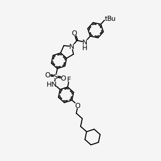 CC(C)(C)c1ccc(NC(=O)N2Cc3ccc(S(=O)(=O)Nc4ccc(OCCCC5CCCCC5)cc4F)cc3C2)cc1